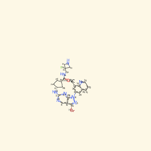 N#Cc1cc(-n2nc(Br)c3cnc(N[C@@H]4CC[C@@H](C(=O)NCC5(F)CNC5)C4)nc32)cc2cccnc12